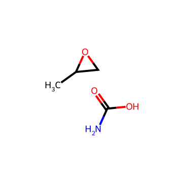 CC1CO1.NC(=O)O